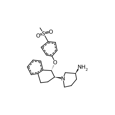 CS(=O)(=O)c1ccc(O[C@H]2c3ccccc3CC[C@@H]2N2CCC[C@H](N)C2)cc1